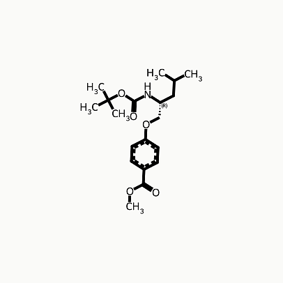 COC(=O)c1ccc(OC[C@@H](CC(C)C)NC(=O)OC(C)(C)C)cc1